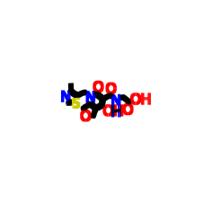 Cc1ncsc1Cn1c2c(c(O)c(C(=O)NCC(=O)O)c1=O)COC2